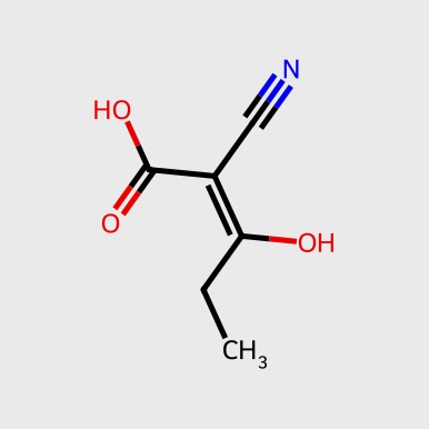 CCC(O)=C(C#N)C(=O)O